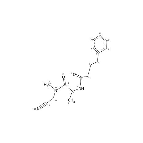 CC(NC(=O)CCCc1ccccc1)C(=O)N(C)CC#N